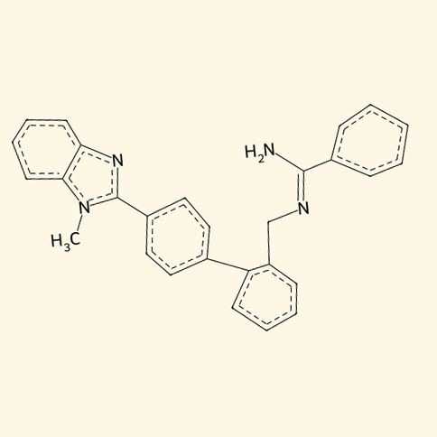 Cn1c(-c2ccc(-c3ccccc3C/N=C(\N)c3ccccc3)cc2)nc2ccccc21